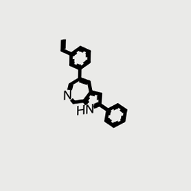 C=Cc1cccc(C2=Cc3cc(-c4ccccc4)[nH]c3CN=C2)c1